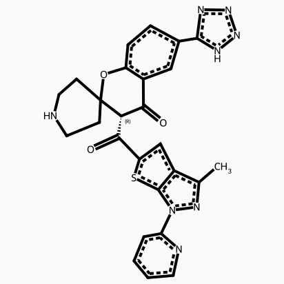 Cc1nn(-c2ccccn2)c2sc(C(=O)[C@H]3C(=O)c4cc(-c5nnn[nH]5)ccc4OC34CCNCC4)cc12